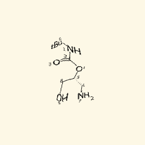 CC(C)(C)NC(=O)O[C@H](CN)CO